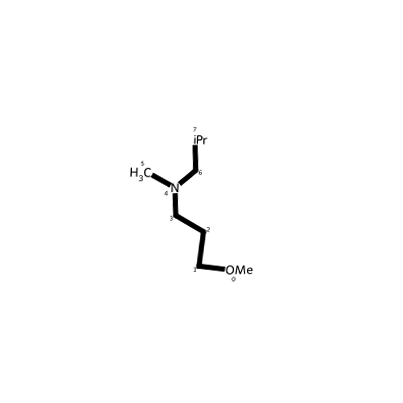 COCCCN(C)CC(C)C